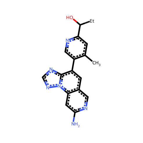 CCC(O)c1cc(C)c(-c2cc3cnc(N)cc3n3ncnc23)cn1